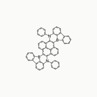 c1ccc(N2c3cccc4c3B(c3ccccc3-4)c3c2c2cccc4c5c(c6cccc3c6c42)N(c2ccccc2)c2cccc3c2B5c2ccccc2-3)cc1